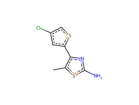 Cc1sc(N)nc1-c1cc(Cl)cs1